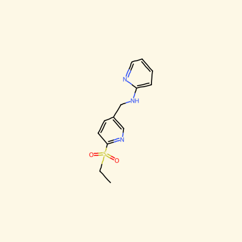 CCS(=O)(=O)c1ccc(CNc2ccccn2)cn1